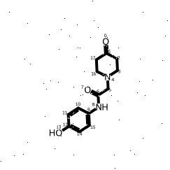 O=C1CCN(CC(=O)Nc2ccc(O)cc2)CC1